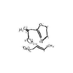 C=C(C)C1=NCCO1.CC=C[C]=O